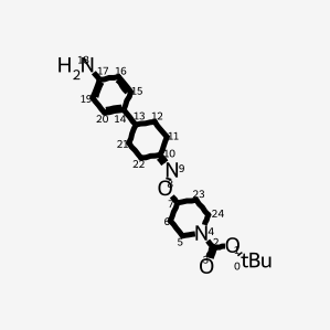 CC(C)(C)OC(=O)N1CCC(ON=C2CCC(c3ccc(N)cc3)CC2)CC1